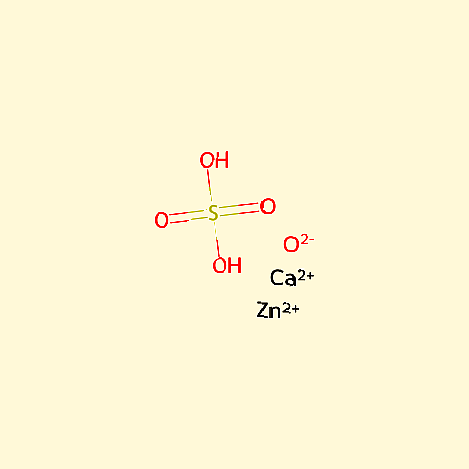 O=S(=O)(O)O.[Ca+2].[O-2].[Zn+2]